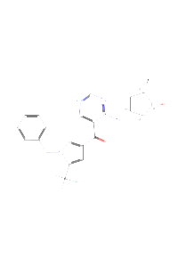 [CH2][C@@H]1C[C@@H](Nc2ncncc2C(=O)c2cc(C(F)(F)F)n(Cc3ccccc3)c2)[C@@H](F)[C@@H]1O